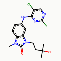 Cn1c(=O)n(CCC(C)(C)O)c2cc(Nc3nc(F)ncc3Cl)ccc21